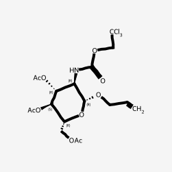 C=CCO[C@@H]1O[C@H](COC(C)=O)[C@@H](OC(C)=O)[C@H](OC(C)=O)[C@H]1NC(=O)OCC(Cl)(Cl)Cl